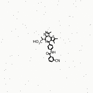 Cc1sc2c(c1C)C(c1ccc(NC(=O)c3cccc(C#N)c3)cc1)=N[C@@H](C(C)C(=O)O)c1nnc(C)n1-2